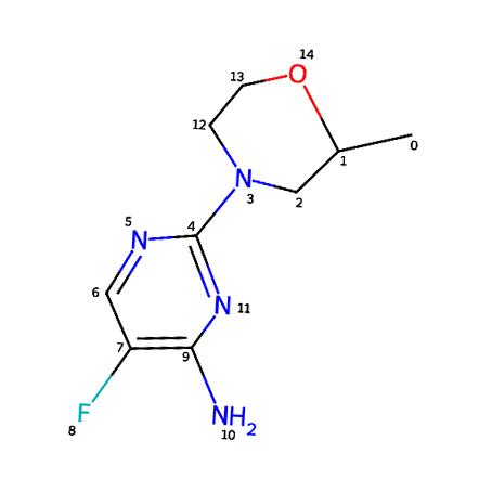 CC1CN(c2ncc(F)c(N)n2)CCO1